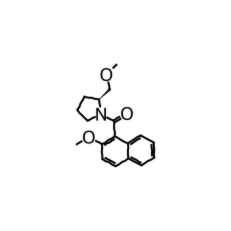 COC[C@@H]1CCCN1C(=O)c1c(OC)ccc2ccccc12